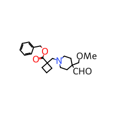 COCC1(C=O)CCN(CC2(C(=O)OCc3ccccc3)CCC2)CC1